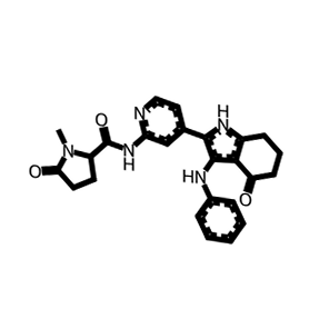 CN1C(=O)CCC1C(=O)Nc1cc(-c2[nH]c3c(c2Nc2ccccc2)C(=O)CCC3)ccn1